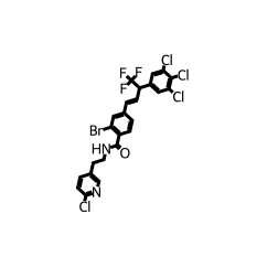 O=C(NCCc1ccc(Cl)nc1)c1ccc(/C=C/C(c2cc(Cl)c(Cl)c(Cl)c2)C(F)(F)F)cc1Br